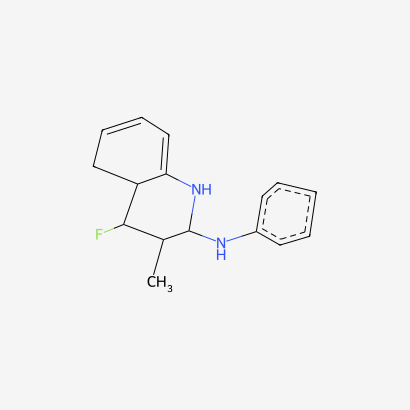 CC1C(Nc2ccccc2)NC2=CC=CCC2C1F